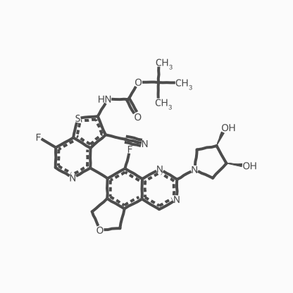 CC(C)(C)OC(=O)Nc1sc2c(F)cnc(-c3c4c(c5cnc(N6C[C@@H](O)[C@@H](O)C6)nc5c3F)COC4)c2c1C#N